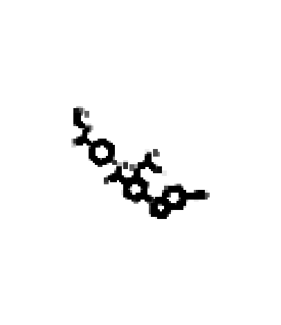 CCNC(=O)[C@H]1CC[C@H](NC(=O)c2cnc(-n3ccc4cc(C#N)cnc43)cc2NC(C)C)CC1